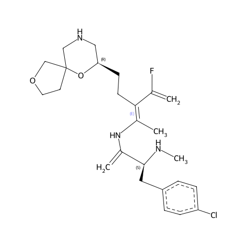 C=C(F)/C(CC[C@@H]1CNCC2(CCOC2)O1)=C(\C)NC(=C)[C@H](Cc1ccc(Cl)cc1)NC